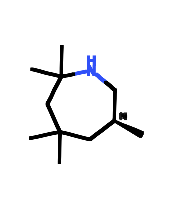 C[C@@H]1CNC(C)(C)CC(C)(C)C1